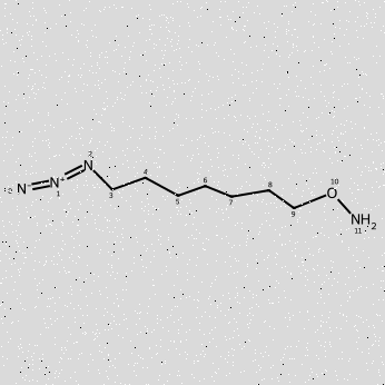 [N-]=[N+]=NCCCCCCCON